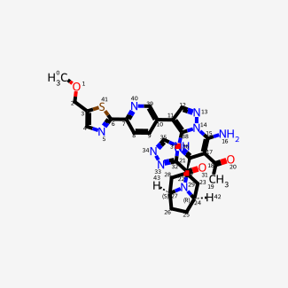 COCc1cnc(-c2ccc(-c3cnn4c(N)c(C(C)=O)c([C@H]5C[C@H]6CC[C@@H](C5)N6C(=O)c5nnc[nH]5)nc34)cn2)s1